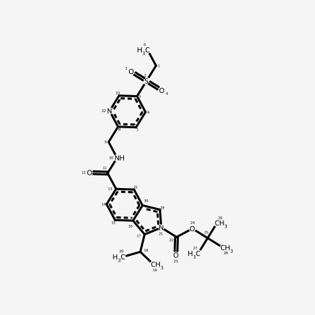 CCS(=O)(=O)c1ccc(CNC(=O)c2ccc3c(C(C)C)n(C(=O)OC(C)(C)C)cc3c2)nc1